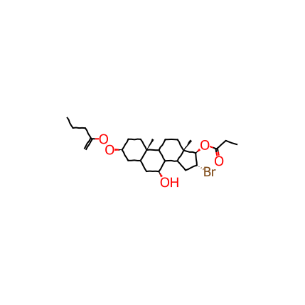 C=C(CCC)OO[C@H]1CC[C@@]2(C)C(C1)C[C@H](O)C1C2CC[C@@]2(C)C1C[C@@H](Br)[C@@H]2OC(=O)CC